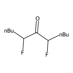 CCCCC(F)C(=O)C(F)CCCC